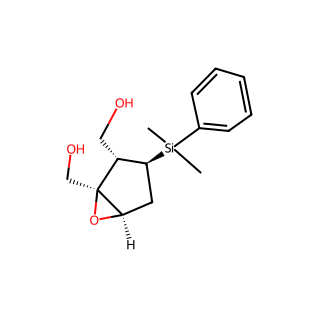 C[Si](C)(c1ccccc1)[C@H]1C[C@H]2O[C@@]2(CO)[C@@H]1CO